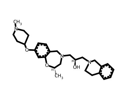 C[C@H]1CN(C[C@H](O)CN2CCc3ccccc3C2)Cc2ccc(OC3CCN(C)CC3)cc2O1